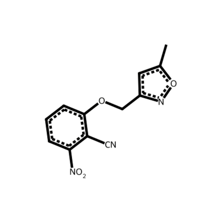 Cc1cc(COc2cccc([N+](=O)[O-])c2C#N)no1